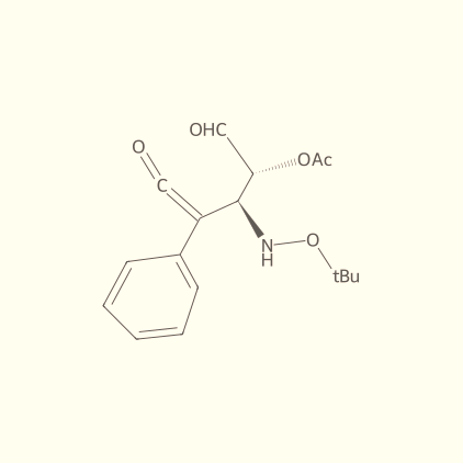 CC(=O)O[C@@H](C=O)[C@@H](NOC(C)(C)C)C(=C=O)c1ccccc1